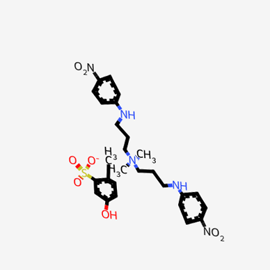 C[N+](C)(CCCNc1ccc([N+](=O)[O-])cc1)CCCNc1ccc([N+](=O)[O-])cc1.Cc1ccc(O)cc1S(=O)(=O)[O-]